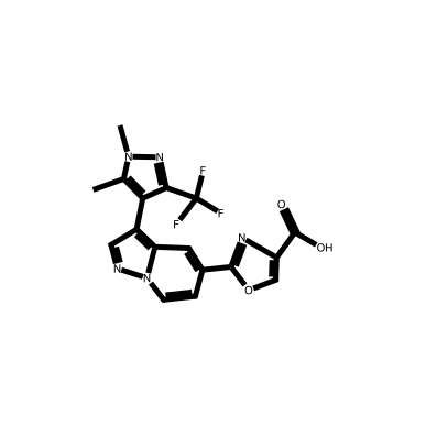 Cc1c(-c2cnn3ccc(-c4nc(C(=O)O)co4)cc23)c(C(F)(F)F)nn1C